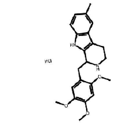 COc1cc(OC)c(OC)cc1CC1NCCc2c1[nH]c1ccc(C)cc21.Cl